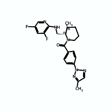 Cc1cnn(-c2ccc(C(=O)N3CCC[C@@H](C)[C@H]3CNc3ncc(F)cc3F)cc2)n1